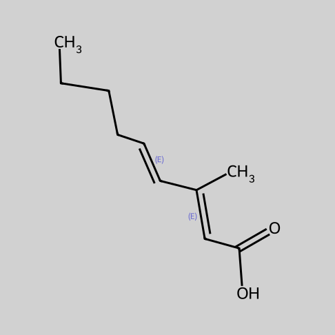 CCCC/C=C/C(C)=C/C(=O)O